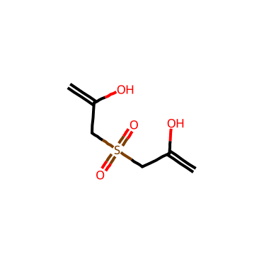 C=C(O)CS(=O)(=O)CC(=C)O